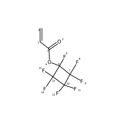 C=CC(=O)OC1(F)C(F)(F)C(F)(F)C1(F)F